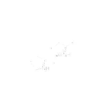 C1CSCN1.COc1coc(=O)[nH]1